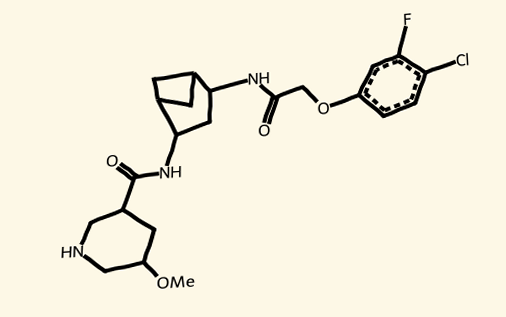 COC1CNCC(C(=O)NC2CC(NC(=O)COc3ccc(Cl)c(F)c3)C3CC2C3)C1